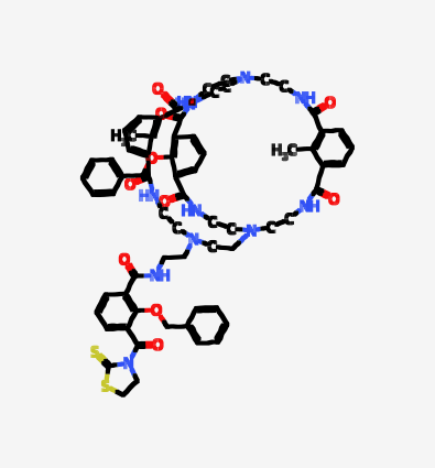 Cc1c2cccc1C(=O)NCCN1CCNC(=O)c3cccc(c3OCc3ccccc3)C(=O)NCCN(CCNC2=O)CCNC(=O)c2cccc(c2C)C(=O)NCCN(CCNC(=O)c2cccc(C(=O)N3CCSC3=S)c2OCc2ccccc2)CC1